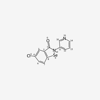 O=c1c2cc(Cl)ccc2[se]n1-c1cccnc1